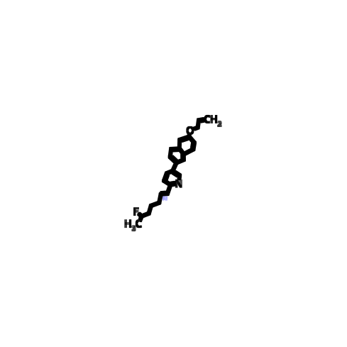 C=CCOc1ccc2cc(-c3ccc(/C=C/CCCC(C)F)nc3)ccc2c1